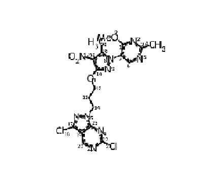 COc1nc(C)ncc1-n1nc(OCCCn2nc(Cl)c3cnc(Cl)nc32)c([N+](=O)[O-])c1C